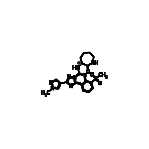 Cn1cc(-c2nc3c4cccc(S(C)(=O)=O)c4nc(N[C@@H]4CCCCNC4=O)n3n2)cn1